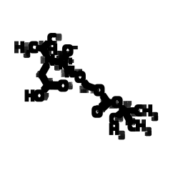 CC(C)N(CC(=O)O)[N+]([O-])=NOCOC(=O)OC(C)(C)C